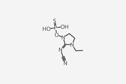 CCN1CCN(OP(O)(O)=S)/C1=N/C#N